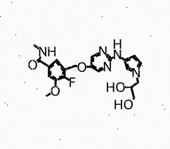 CNC(=O)c1cc(COc2cnc(Nc3ccn(C[C@H](O)CO)c3)nc2)c(F)c(OC)c1